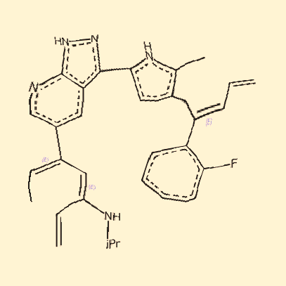 C=C/C=C(/c1ccccc1F)c1cc(-c2n[nH]c3ncc(C(/C=C(\C=C)NC(C)C)=C/C)cc23)[nH]c1C